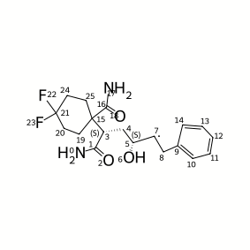 NC(=O)[C@@H](C[C@@H](O)[CH]Cc1ccccc1)C1(C(N)=O)CCC(F)(F)CC1